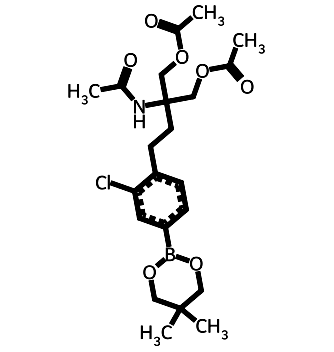 CC(=O)NC(CCc1ccc(B2OCC(C)(C)CO2)cc1Cl)(COC(C)=O)COC(C)=O